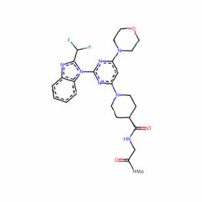 CNC(=O)CNC(=O)C1CCN(c2cc(N3CCOCC3)nc(-n3c(C(F)F)nc4ccccc43)n2)CC1